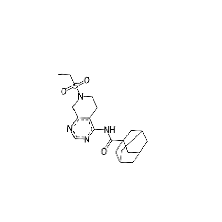 CCS(=O)(=O)N1CCc2c(ncnc2NC(=O)C23CC4CC(CC(C4)C2)C3)C1